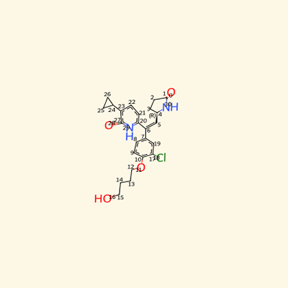 O=C1CC[C@H](C=C(c2ccc(OCCCCO)c(Cl)c2)c2ccc(C3CC3)c(=O)[nH]2)N1